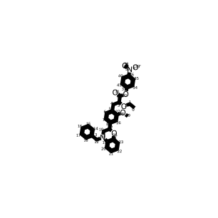 CCOC(Cc1ccc(C2CN(Cc3ccccc3)c3ccccc3O2)cc1OC)C(=O)Oc1ccc([N+](=O)[O-])cc1